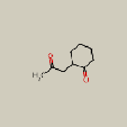 CC(=O)CC1CCCCC1=O